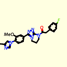 COc1cc(-c2nnc3n2CCCN3C(=O)Cc2ccc(F)cc2)ccc1-n1cnc(C)c1